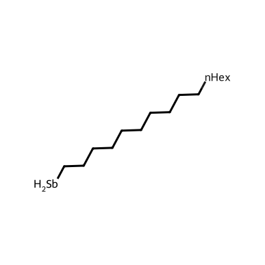 CCCCCCCCCCCCCCC[CH2][SbH2]